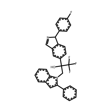 OC(Cn1c(-c2ccccc2)cc2ccccc21)(c1ccc2c(c1)C=NC2c1ccc(F)cc1)C(F)(F)F